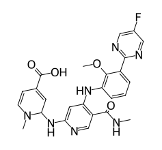 CNC(=O)c1cnc(NC2C=C(C(=O)O)C=CN2C)cc1Nc1cccc(-c2ncc(F)cn2)c1OC